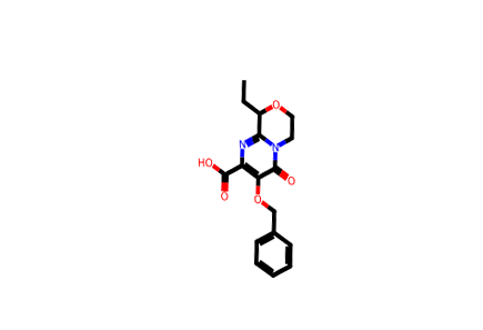 CCC1OCCn2c1nc(C(=O)O)c(OCc1ccccc1)c2=O